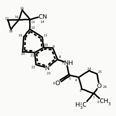 CC1(C)CC(C(=O)Nc2cc3cc(C4(C#N)CC45CC5)ccc3cn2)CCO1